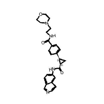 O=C(NCCN1CCOCC1)c1ccc([C@H]2C[C@H]2C(=O)Nc2ccc3cnccc3c2)cc1